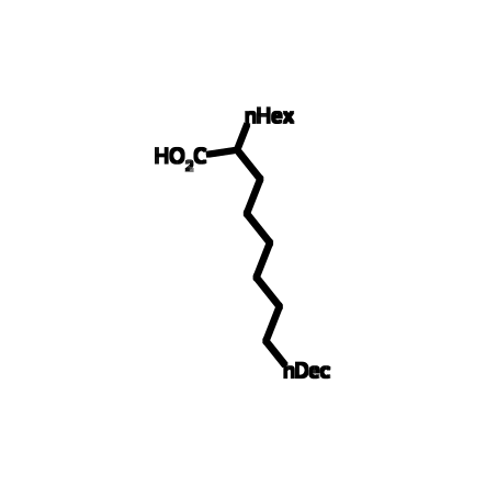 CCCCCCCCCCCCCCCCC(CCCCCC)C(=O)O